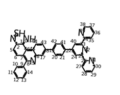 N=C1/C(=N\S)C=Cc2c(-c3ccccc3)nc3cc(-c4ccc(-c5cc(-c6ccccn6)nc(-c6ccccn6)c5)cc4)ccc3c21